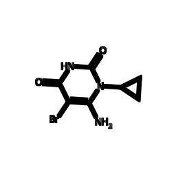 Nc1c(Br)c(=O)[nH]c(=O)n1C1CC1